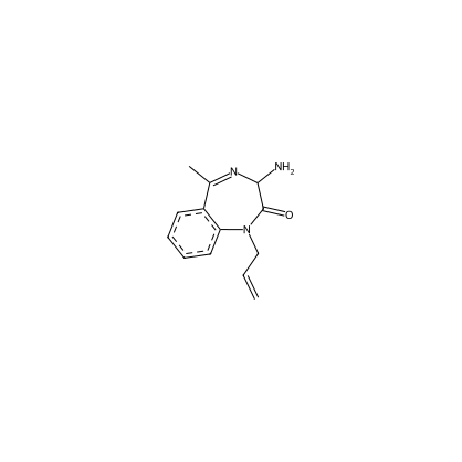 C=CCN1C(=O)C(N)N=C(C)c2ccccc21